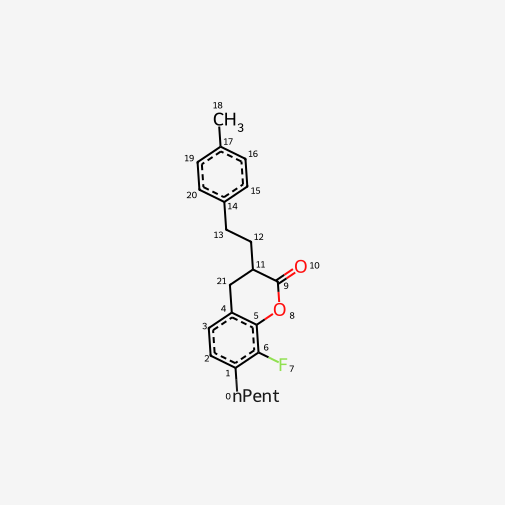 CCCCCc1ccc2c(c1F)OC(=O)C(CCc1ccc(C)cc1)C2